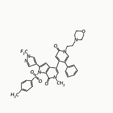 Cc1ccc(S(=O)(=O)n2c(-c3cnn(C(F)(F)F)c3)cc3c(-c4cc(=O)n(CCN5CCOCC5)cc4-c4ccccc4)cn(C)c(=O)c32)cc1